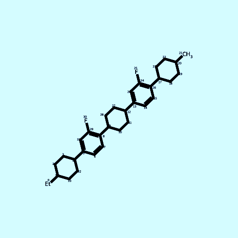 CCC1CCC(c2ccc(C3CCC(c4ccc(C5CCC(C)CC5)c(F)c4)CC3)c(F)c2)CC1